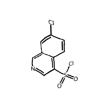 O=S(=O)(Cl)c1cncc2cc(Cl)ccc12